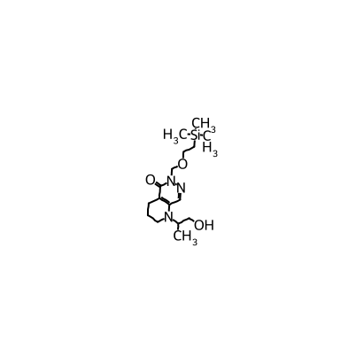 CC(CO)N1CCCc2c1cnn(COCC[Si](C)(C)C)c2=O